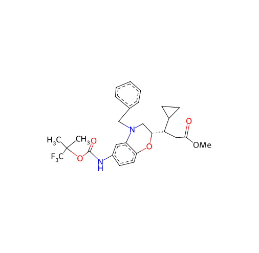 COC(=O)CC(C1CC1)[C@H]1CN(Cc2ccccc2)c2cc(NC(=O)OC(C)(C)C(F)(F)F)ccc2O1